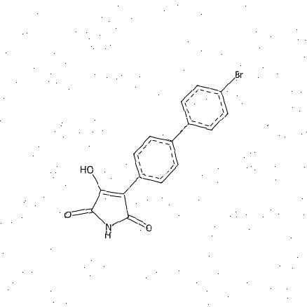 O=C1NC(=O)C(c2ccc(-c3ccc(Br)cc3)cc2)=C1O